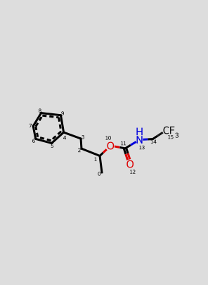 CC(CCc1ccccc1)OC(=O)NCC(F)(F)F